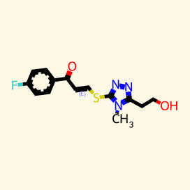 Cn1c(CCO)nnc1S/C=C/C(=O)c1ccc(F)cc1